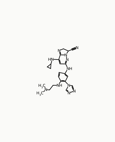 CN(C)CCNc1ccc(NC2=NN3C(=NCC3C#N)C(NC3CC3)=C2)cc1-n1cnnc1